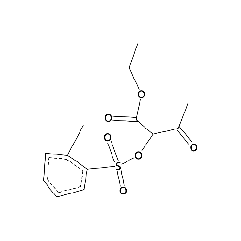 CCOC(=O)C(OS(=O)(=O)c1ccccc1C)C(C)=O